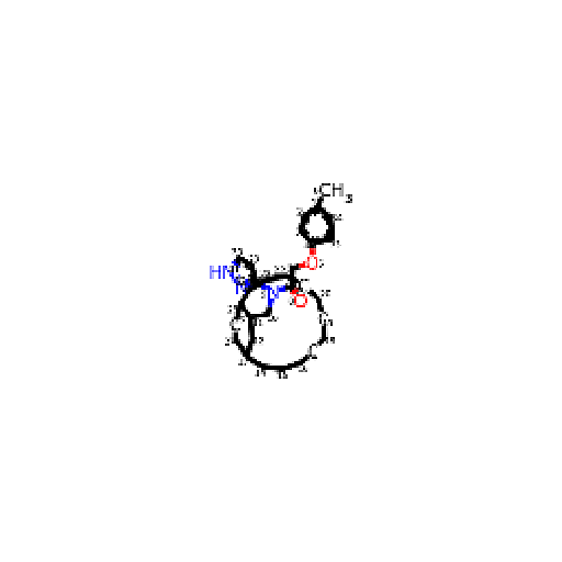 Cc1ccc(OCC(=O)N(CC2CC3CCCCCCCCCCCC2CC3)c2cc[nH]n2)cc1